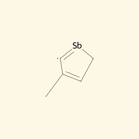 CC1=C[CH2][Sb]=[C]1